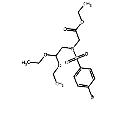 CCOC(=O)CN(CC(OCC)OCC)S(=O)(=O)c1ccc(Br)cc1